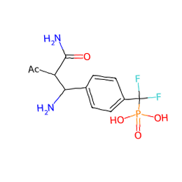 CC(=O)C(C(N)=O)C(N)c1ccc(C(F)(F)P(=O)(O)O)cc1